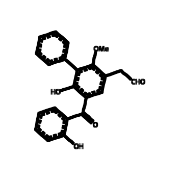 COc1c(CC=O)cc(C(=O)c2ccccc2O)c(O)c1-c1ccccc1